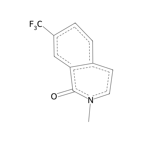 Cn1ccc2ccc(C(F)(F)F)cc2c1=O